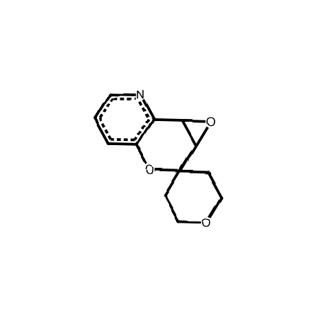 c1cnc2c(c1)OC1(CCOCC1)C1OC21